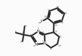 CC(C)(C)c1nc2n(n1)CCCC2c1ccccc1F